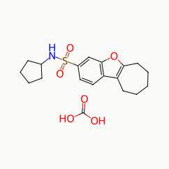 O=C(O)O.O=S(=O)(NC1CCCC1)c1ccc2c3c(oc2c1)CCCCC3